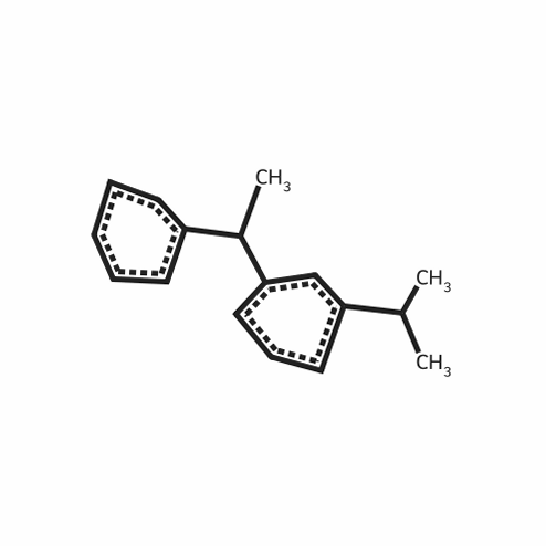 CC(C)c1cccc(C(C)c2ccccc2)c1